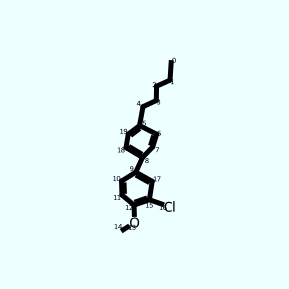 CCCCCc1ccc(-c2ccc(OC)c(Cl)c2)cc1